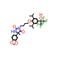 CC(C)c1cc(C(O)(C(F)(F)F)C(F)(F)F)cc(C(C)C)c1OCCCCN1C(=O)NC(C)(c2ccc3c(c2)OCO3)C1=O